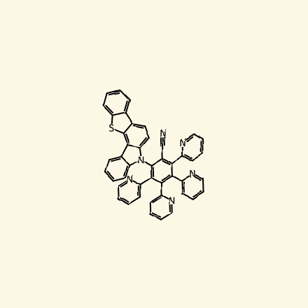 N#Cc1c(-c2ccccn2)c(-c2ccccn2)c(-c2ccccn2)c(-c2ccccn2)c1-n1c2ccccc2c2c3sc4ccccc4c3ccc21